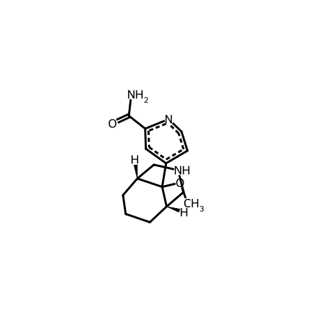 COC1(c2ccnc(C(N)=O)c2)[C@@H]2CCC[C@H]1CNC2